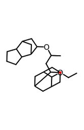 CCOC1C2CC3CC1CC(C2)C3CC(C)OC1CC2CC1C1CCCC21